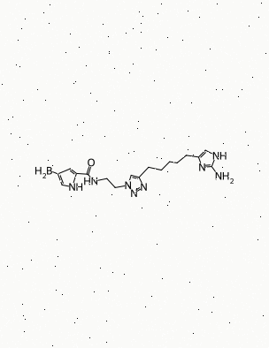 Bc1c[nH]c(C(=O)NCCn2cc(CCCCCc3c[nH]c(N)n3)nn2)c1